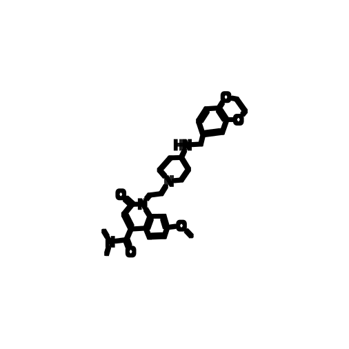 COc1ccc2c(C(=O)N(C)C)cc(=O)n(CCN3CCC(NCc4ccc5c(c4)OCCO5)CC3)c2c1